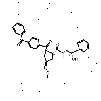 CO/N=C1\C[C@@H](C(=O)NC[C@@H](O)c2ccccc2)N(C(=O)c2ccc(C(=O)c3ccccc3)cc2)C1